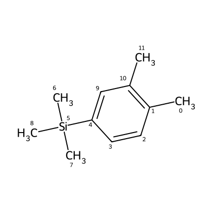 Cc1ccc([Si](C)(C)C)cc1C